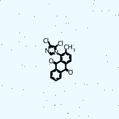 Cc1ccc2c(c1-n1cnc(Cl)c1Cl)C(=O)c1ccccc1C2=O